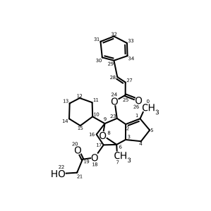 CC1=C2C(CC1)C1(C)OC(C3CCCCC3)(CC1OC(=O)CO)C2OC(=O)/C=C/c1ccccc1